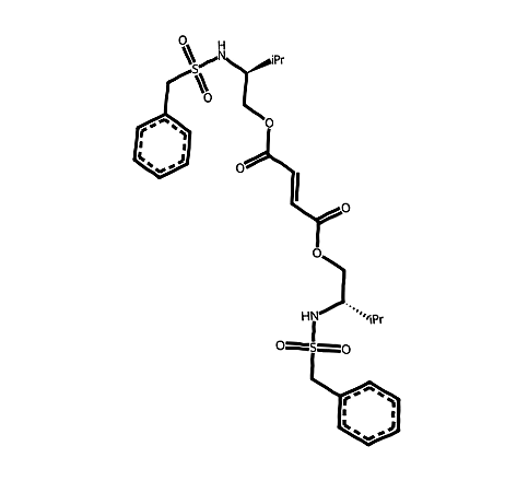 CC(C)[C@@H](COC(=O)/C=C/C(=O)OC[C@@H](NS(=O)(=O)Cc1ccccc1)C(C)C)NS(=O)(=O)Cc1ccccc1